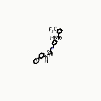 O=C(Nc1ccc(/C=C/c2cnc(Nc3cccc(N4CCCCC4)c3)s2)cc1)c1cccc(C(F)(F)F)c1